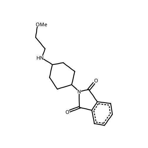 COCCNC1CCC(N2C(=O)c3ccccc3C2=O)CC1